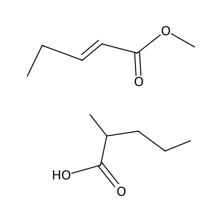 CCC=CC(=O)OC.CCCC(C)C(=O)O